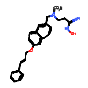 N=C(CCN(Cc1ccc2cc(OCCCc3ccccc3)ccc2c1)C(=O)O)NO